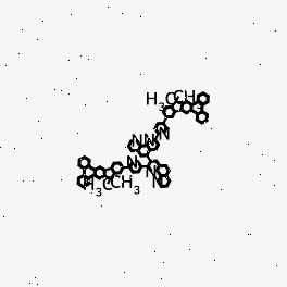 CC1(C)c2ccc(-c3ccc(-c4ccc5c(-c6cc7ccc8cccnc8c7nc6-c6ccc(-c7ccc8c(c7)C(C)(C)c7cc9c%10ccccc%10c%10ccccc%10c9cc7-8)nc6)cc6cccnc6c5n4)nc3)cc2-c2cc3c4ccccc4c4ccccc4c3cc21